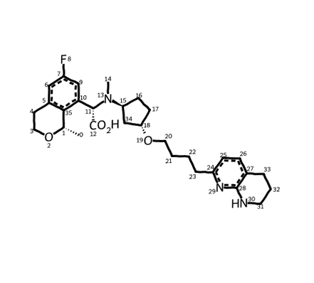 C[C@@H]1OCCc2cc(F)cc([C@@H](C(=O)O)N(C)[C@H]3CC[C@H](OCCCCc4ccc5c(n4)NCCC5)C3)c21